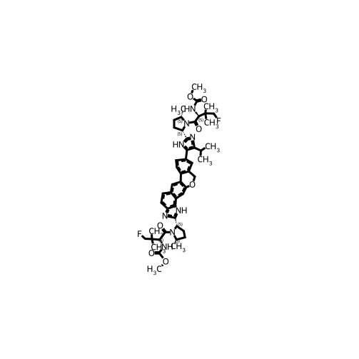 COC(=O)N[C@H](C(=O)N1[C@@H](C)CC[C@H]1c1nc(C(C)C)c(-c2ccc3c(c2)COc2cc4c(ccc5nc([C@@H]6CC[C@H](C)N6C(=O)[C@@H](NC(=O)OC)C(C)(C)CF)[nH]c54)cc2-3)[nH]1)C(C)(C)CF